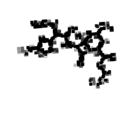 CO/N=C(/C(=O)NC1C(=O)N2C(C(=O)OCC(Cl)(Cl)Cl)=CC(C)S[C@H]12)c1csc(N)n1